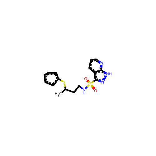 CC(CCNS(=O)(=O)c1n[nH]c2ncccc12)Sc1ccccc1